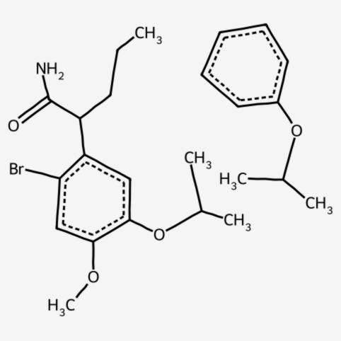 CC(C)Oc1ccccc1.CCCC(C(N)=O)c1cc(OC(C)C)c(OC)cc1Br